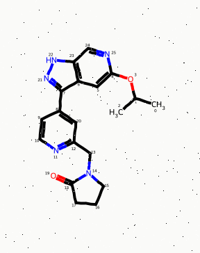 CC(C)Oc1cc2c(-c3ccnc(CN4CCCC4=O)c3)n[nH]c2cn1